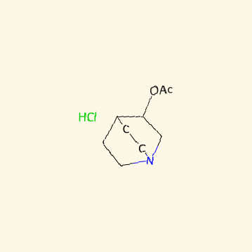 CC(=O)OC1CN2CCC1CC2.Cl